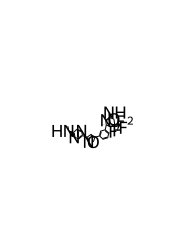 CNc1cnc(-c2cc(-c3ccc(F)c([C@]4(C)C[C@@H](C(F)(F)F)OC(N)=N4)c3)on2)cn1